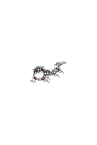 C=C1C[C@@H]2CC[C@@]34C[C@@H]5O[C@@H]6[C@@H](O[C@H]7CC[C@H](CC(=O)O[C@H]8[C@H](CC9O[C@@H](CCC1O2)C[C@@H](C)C9=C)C[C@H]1C[C@H]2O[C@@]9(C[C@@H]%10C[C@@]%11(C[C@H](C)[C@@H]%10O9)C[C@H](C)[C@@H]9O[C@H]([C@H](O)C[C@H](O)CO)C[C@@H]9O%11)C[C@H]2O[C@H]1[C@@H]8C)O[C@@H]7[C@@H]6O3)[C@H]5O4